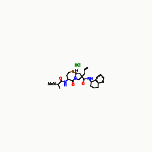 C=CCC1(C(=O)N[C@@H]2CCCc3ccccc32)C[C@@H]2SCC[C@H](NC(=O)C(C)NC)C(=O)N2C1.Cl